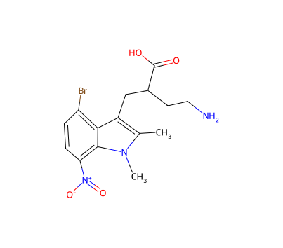 Cc1c(CC(CCN)C(=O)O)c2c(Br)ccc([N+](=O)[O-])c2n1C